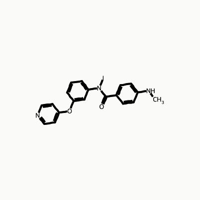 CNc1ccc(C(=O)N(I)c2cccc(Oc3ccncc3)c2)cc1